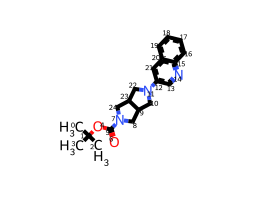 CC(C)(C)OC(=O)N1CC2CN(c3cnc4ccccc4c3)CC2C1